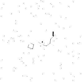 C=CC[C@@H](C)[C@H](C)S(=O)(=O)N[C@@H]1CCO1